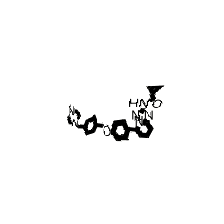 CN1CCN(Cc2ccc(COc3ccc(-c4cccc5nc(NC(=O)C6CC6)nn45)cc3)cc2)CC1